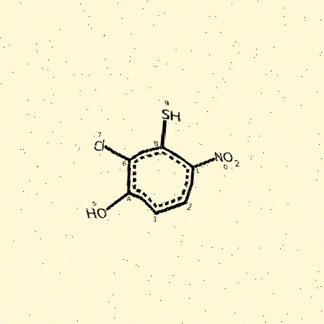 O=[N+]([O-])c1ccc(O)c(Cl)c1S